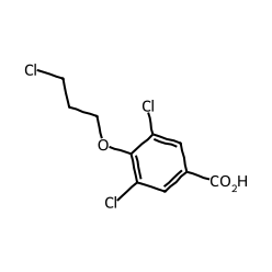 O=C(O)c1cc(Cl)c(OCCCCl)c(Cl)c1